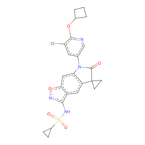 O=C1N(c2cnc(OC3CCC3)c(Cl)c2)c2cc3onc(NS(=O)(=O)C4CC4)c3cc2C12CC2